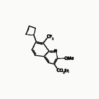 CCOC(=O)c1cc2ccc(C3CCC3)c(C(F)(F)F)c2nc1OC